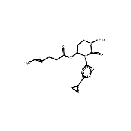 C/C=C/CCC(=O)OC1CCN(CCCCCC)C(=O)N1c1nnc(C2CC2)s1